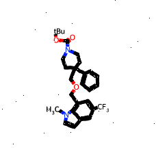 Cn1ccc2cc(C(F)(F)F)cc(COCC3(c4ccccc4)CCN(C(=O)OC(C)(C)C)CC3)c21